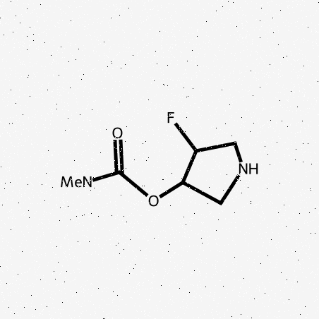 CNC(=O)OC1CNCC1F